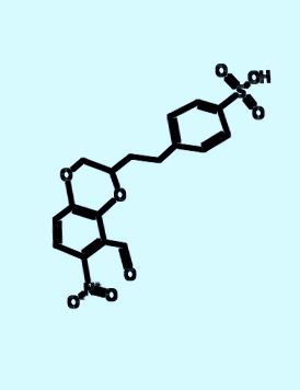 O=Cc1c([N+](=O)[O-])ccc2c1OC(CCc1ccc(S(=O)(=O)O)cc1)CO2